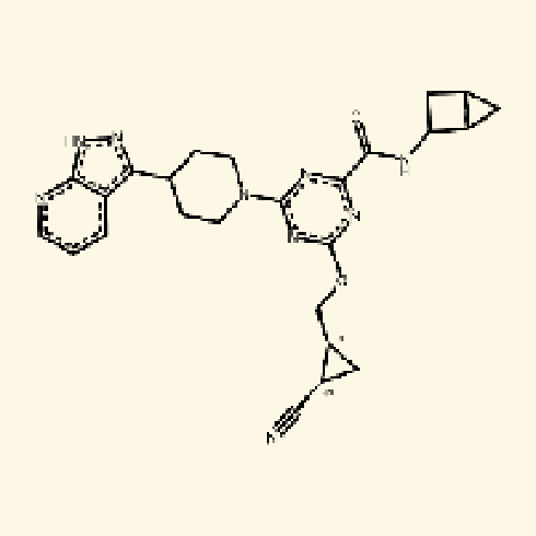 N#C[C@@H]1C[C@@H]1COc1nc(C(=O)NC2CC3CC32)nc(N2CCC(c3n[nH]c4ncccc34)CC2)n1